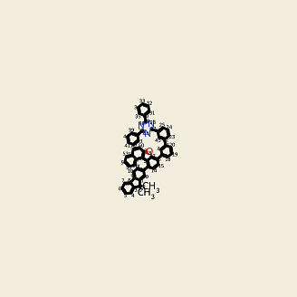 CC1(C)c2ccccc2-c2ccc(-c3ccc(-c4cccc(-c5cccc(-c6nc(-c7ccccc7)nc(-c7ccccc7)n6)c5)c4)c4oc5ccc6ccccc6c5c34)cc21